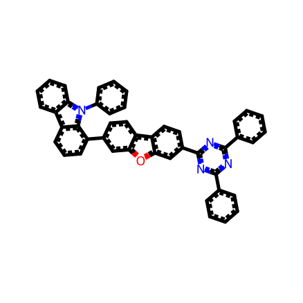 c1ccc(-c2nc(-c3ccccc3)nc(-c3ccc4c(c3)oc3cc(-c5cccc6c7ccccc7n(-c7ccccc7)c56)ccc34)n2)cc1